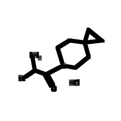 CCC(N)C(=O)N1CCC2(CC1)CC2.Cl